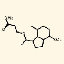 COC(=O)CCOC(C)C1CCC2C(OC(C)=O)CCC(C)C12